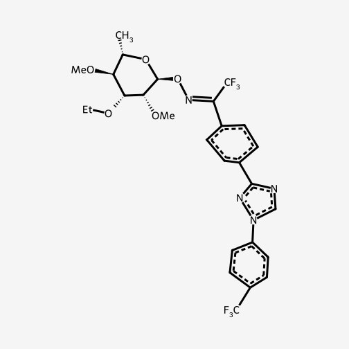 CCO[C@@H]1[C@@H](OC)[C@H](C)O[C@@H](O/N=C(/c2ccc(-c3ncn(-c4ccc(C(F)(F)F)cc4)n3)cc2)C(F)(F)F)[C@@H]1OC